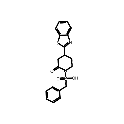 O=C1CC(c2nc3ccccc3s2)CCN1P(=O)(O)Cc1ccccc1